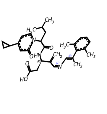 C=C(/C=N\C=C(/C)c1c(C)cccc1C)[C@@H](CC(=O)O)NC(=O)C(CC(C)C)n1ccc(C2CC2)cc1=O